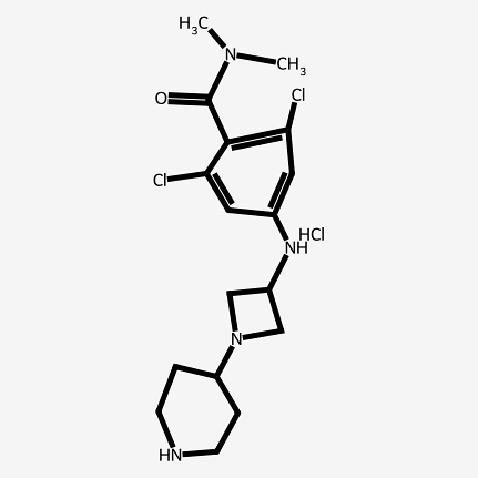 CN(C)C(=O)c1c(Cl)cc(NC2CN(C3CCNCC3)C2)cc1Cl.Cl